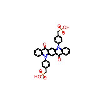 O=c1c2ccccc2n(-c2ccc(CS(=O)(=O)O)cc2)c2cc3c(=O)c4ccccc4n(-c4ccc(CS(=O)(=O)O)cc4)c3cc12